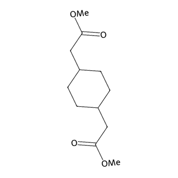 COC(=O)CC1CCC(CC(=O)OC)CC1